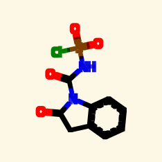 O=C1Cc2ccccc2N1C(=O)NS(=O)(=O)Cl